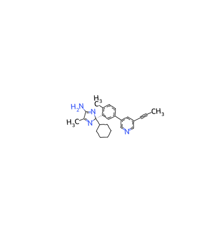 CC#Cc1cncc(-c2ccc(C)c([C@]3(C4CCCCC4)N=C(C)C(N)=N3)c2)c1